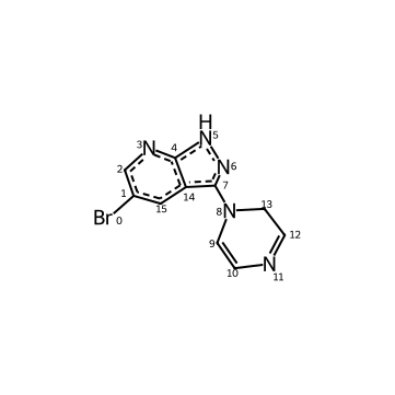 Brc1cnc2[nH]nc(N3C=CN=CC3)c2c1